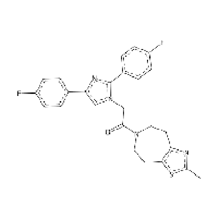 Cc1nc2c(s1)CCN(C(=O)Cn1cc(-c3ccc(F)cc3)nc1-c1ccc(F)cc1)CC2